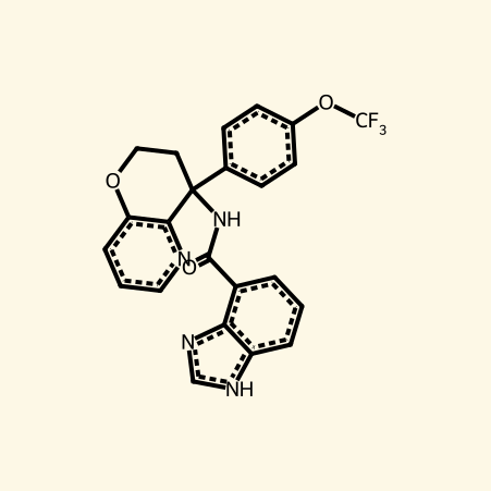 O=C(NC1(c2ccc(OC(F)(F)F)cc2)CCOc2cccnc21)c1cccc2[nH]cnc12